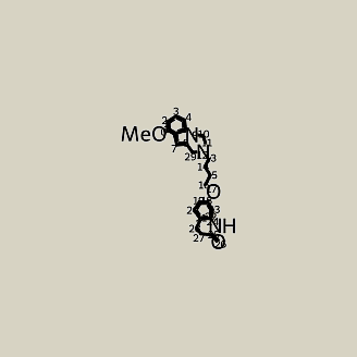 COc1cccc2c1cc1n2CCN(CCCCOc2ccc3c(c2)NC(=O)CC3)C1